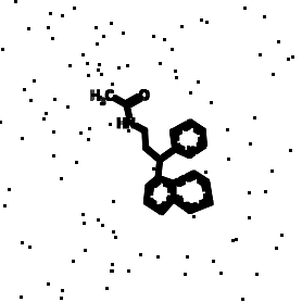 CC(=O)NCCC(c1ccccc1)c1cccc2ccccc12